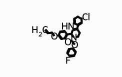 C=CCOc1ccc(C2c3[nH]c4c(c3CCN2C(=O)Oc2ccc(F)cc2)=CC(Cl)CC=4)cc1